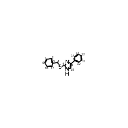 c1ccc(CSc2nc(-c3ccccc3)c[nH]2)cc1